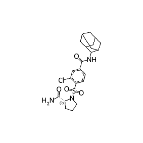 NC(=O)[C@H]1CCCN1S(=O)(=O)c1ccc(C(=O)NC2C3CC4CC(C3)CC2C4)cc1Cl